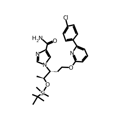 C[C@H](O[Si](C)(C)C(C)(C)C)[C@@H](CCOc1cccc(-c2ccc(Cl)cc2)n1)n1cnc(C(N)=O)c1